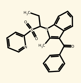 CCC(n1c(C)c(C(=O)c2ccccc2)c2ccccc21)S(=O)(=O)c1ccccn1